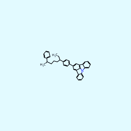 CCC(CCCC(C)c1ccccc1)c1ccc(-c2cc3c4ccccc4n4c5ccccc5c(c2)c34)cc1